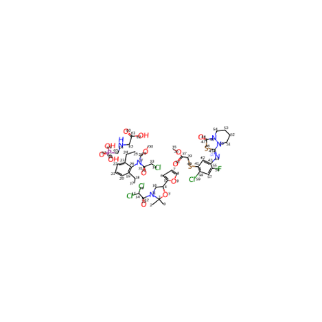 CC1(C)OC(c2ccco2)CN1C(=O)C(Cl)Cl.CCc1cccc(CC)c1N(COC)C(=O)CCl.COC(=O)CSc1cc(/N=c2\sc(=O)n3n2CCCC3)c(F)cc1Cl.O=C(O)CNCP(=O)(O)O